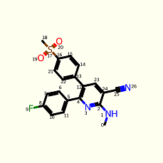 CNc1nc(-c2ccc(F)cc2)c(-c2ccc(S(C)(=O)=O)cc2)cc1C#N